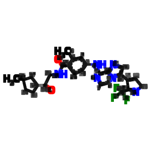 Cc1cc(Nc2nccn3c(C4=CCN=C4C(F)(F)F)cnc23)ccc1C(=O)NCC(=O)C1CC[C@@H](C)C1